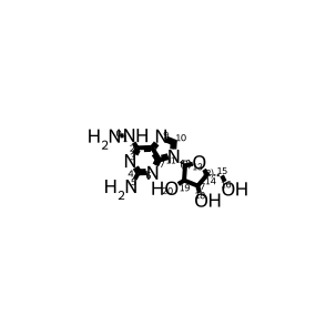 NNc1nc(N)nc2c1ncn2[C@@H]1O[C@H](CO)C(O)C1O